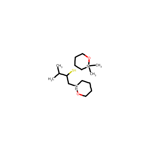 CC(C)C(S)C[SiH]1CCCCO1.C[Si]1(C)CCCCO1